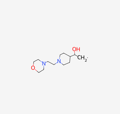 [CH2]C(O)C1CCN(CCN2CCOCC2)CC1